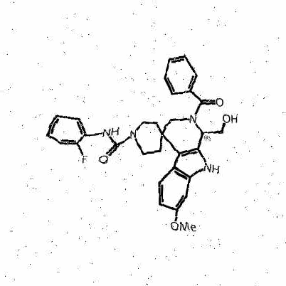 COc1ccc2c3c([nH]c2c1)[C@H](CO)N(C(=O)c1ccccc1)CC31CCN(C(=O)Nc2ccccc2F)CC1